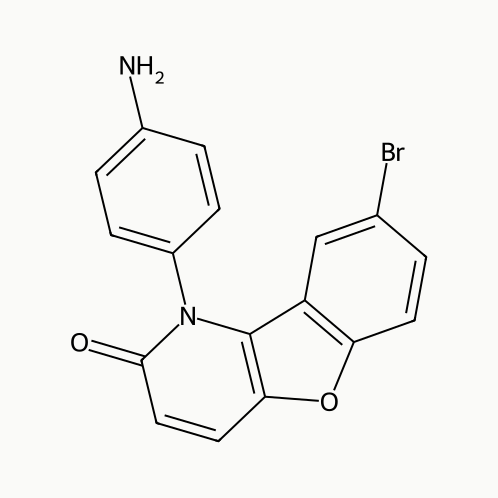 Nc1ccc(-n2c(=O)ccc3oc4ccc(Br)cc4c32)cc1